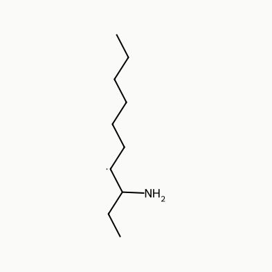 CCCCCC[CH]C(N)CC